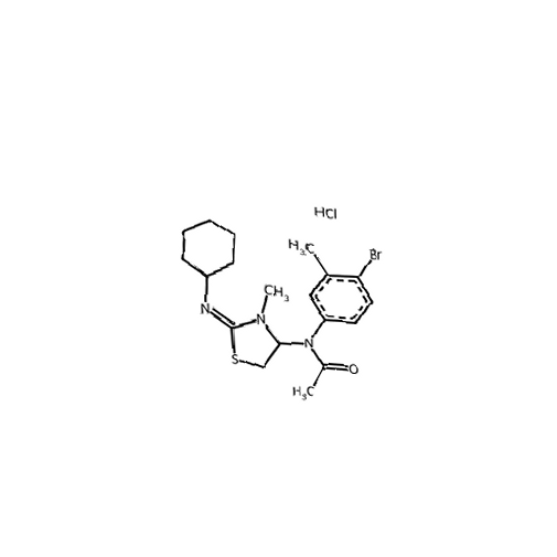 CC(=O)N(c1ccc(Br)c(C)c1)C1CSC(=NC2CCCCC2)N1C.Cl